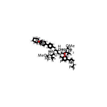 COC(=O)NC(C(=O)N[C@@H](Cc1ccc(-c2cnc(N3CC4CCC(C3)N4C3COC3)nc2)cc1)[C@@H](O)CN(Cc1c(F)cc(-c2ccn(CC(F)F)n2)cc1F)NC(=O)[C@@H](NC(=O)OC)C(C)(C)C(F)(F)F)C(C)(C)C(F)(F)F